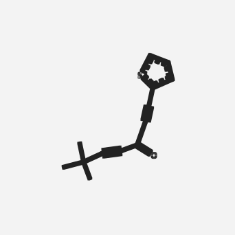 CC(C)(C)C#CC(=O)C#Cc1cccs1